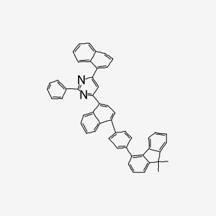 CC1(C)c2ccccc2-c2c(-c3ccc(-c4ccc(-c5cc(-c6cccc7ccccc67)nc(-c6ccccc6)n5)c5ccccc45)cc3)cccc21